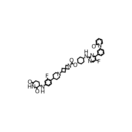 O=C1CCC(Nc2ccc(C3CCN(C4CC5(C4)CN(C(=O)O[C@H]4CC[C@H](Nc6ncc(F)c(-c7cccc(-n8ccccc8=O)c7)n6)CC4)C5)CC3)c(F)c2)C(=O)N1